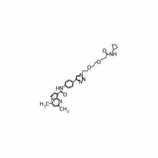 Cc1cc(C)n2ccc(C(=O)Nc3ccc(-c4cn(CCOCCOCCC(=O)NC5CCC5)nn4)cc3)c2n1